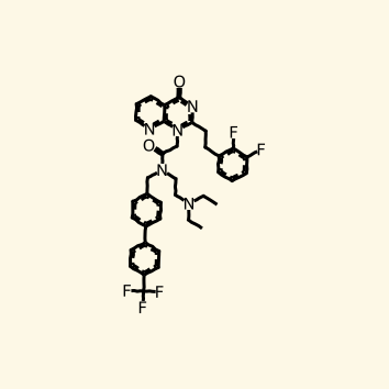 CCN(CC)CCN(Cc1ccc(-c2ccc(C(F)(F)F)cc2)cc1)C(=O)Cn1c(CCc2cccc(F)c2F)nc(=O)c2cccnc21